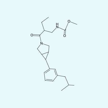 CCC(CNC(=O)OC)C(=O)N1CC2C(C1)C2c1cccc(CC(C)C)c1